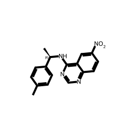 Cc1ccc([C@@H](C)Nc2ncnc3ccc([N+](=O)[O-])cc23)cc1